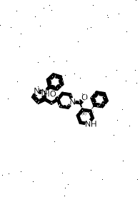 O=C([C@@H]1CCNC[C@H]1c1ccccc1)N1CCC(O)(Cc2ccnn2-c2ccccc2)CC1